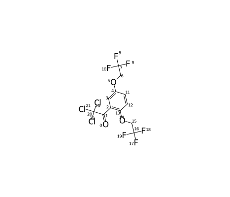 O=C(c1cc(OCC(F)(F)F)ccc1OCC(F)(F)F)C(Cl)(Cl)Cl